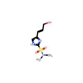 CN(C)S(=O)(=O)c1nc(C=CCO)c[nH]1